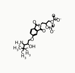 CC(C)(C)C(N)C(O)COc1ccc2c(c1)C(=O)N(CC(CO[N+](=O)[O-])O[N+](=O)[O-])C2=O